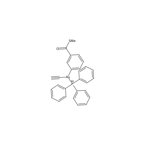 C#[C][Au]([c]1cccc(C(=O)SC)c1)[PH](c1ccccc1)(c1ccccc1)c1ccccc1